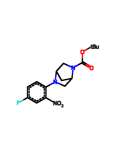 CC(C)(C)OC(=O)N1CC2CC1CN2c1ccc(F)cc1[N+](=O)[O-]